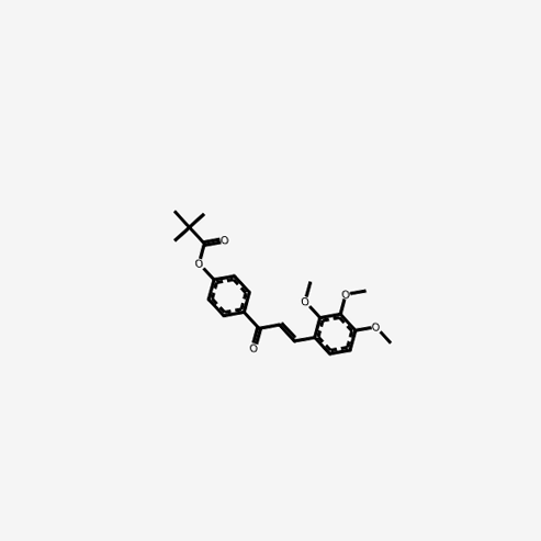 COc1ccc(C=CC(=O)c2ccc(OC(=O)C(C)(C)C)cc2)c(OC)c1OC